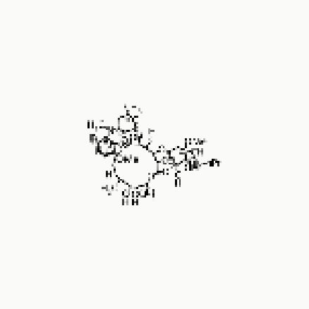 CCCNC[C@]1(O)[C@H](C)O[C@@H](OC2C(C)C(=O)OC(CC)C(C)(O)C(O)C(C)NCC(C)CC(C)(O)C(O[C@@H]3O[C@H](C)C[C@H](N(C)C)[C@H]3Oc3cc(F)ccc3OC)C2C)C[C@@]1(C)OC